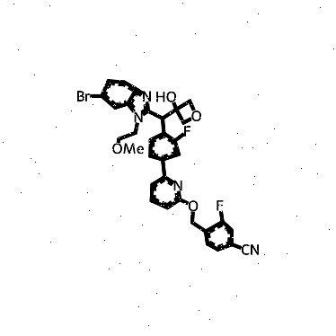 COCCn1c(C(c2ccc(-c3cccc(OCc4ccc(C#N)cc4F)n3)cc2F)C2(O)COC2)nc2ccc(Br)cc21